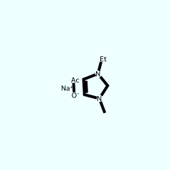 CC(=O)[O-].CCN1C=CN(C)C1.[Na+]